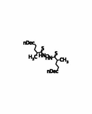 CCCCCCCCCCCCC(C)C(=S)NCNC(=S)C(C)CCCCCCCCCCCC